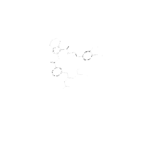 Cc1ccc(/C=N/NC(=O)c2c(NC(=O)c3cccc(CN(CC(C)O)CC(C)O)c3)sc3c2CCCC3)cc1C